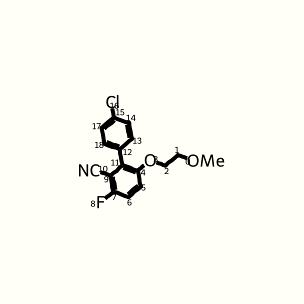 COCCOc1ccc(F)c(C#N)c1-c1ccc(Cl)cc1